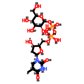 Cc1cn([C@H]2C[C@H](O)[C@@H](COP(=O)(O)OP(=O)(O)OC3O[C@H](CO)[C@@H](O)[C@H](O)[C@H]3O)O2)c(=O)[nH]c1=O